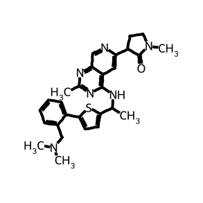 Cc1nc(NC(C)c2ccc(-c3ccccc3CN(C)C)s2)c2cc(C3CCN(C)C3=O)ncc2n1